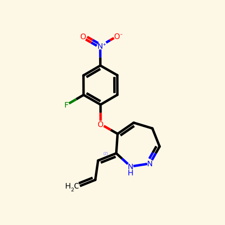 C=C/C=C1\NN=CCC=C1Oc1ccc([N+](=O)[O-])cc1F